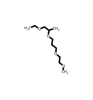 CCOCC(C)OCCCOCCOC